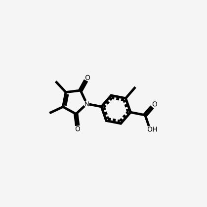 CC1=C(C)C(=O)N(c2ccc(C(=O)O)c(C)c2)C1=O